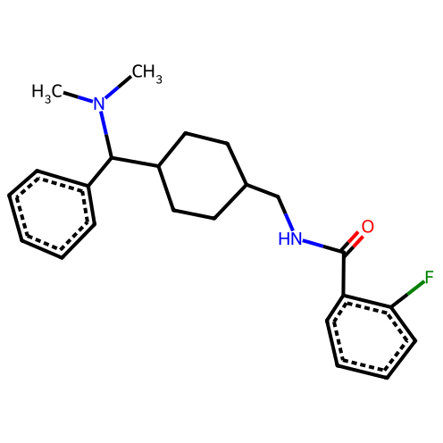 CN(C)C(c1ccccc1)C1CCC(CNC(=O)c2ccccc2F)CC1